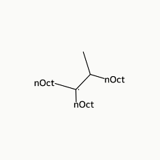 CCCCCCCC[C](CCCCCCCC)C(C)CCCCCCCC